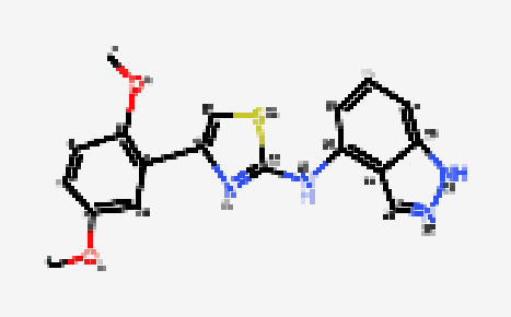 COc1ccc(OC)c(-c2csc(Nc3cccc4[nH]ncc34)n2)c1